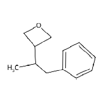 CC(Cc1[c]cccc1)C1COC1